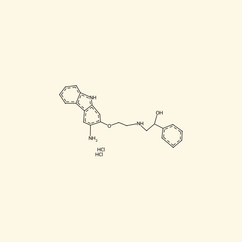 Cl.Cl.Nc1cc2c(cc1OCCNCC(O)c1ccccc1)[nH]c1ccccc12